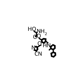 Cc1c(NCc2ccc(COC(=O)[C@H](N)CO)c(OCc3cncc(C#N)c3)c2)cccc1-c1ccccc1